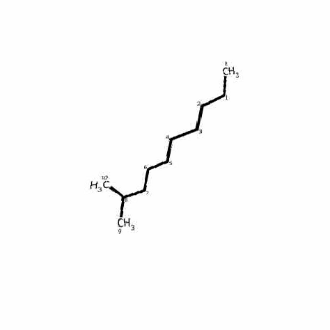 CCCCCCCCC(C)C